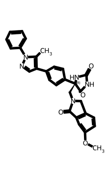 COc1ccc2c(c1)C(=O)N(C[C@@]1(c3ccc(-c4cnn(-c5ccccc5)c4C)cc3)NC(=O)NC1=O)C2